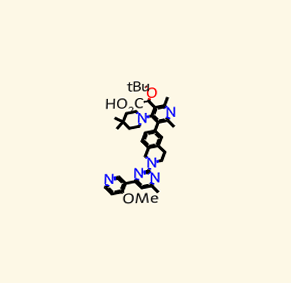 COc1ccncc1-c1cc(C)nc(N2CCc3cc(-c4c(C)nc(C)c([C@H](OC(C)(C)C)C(=O)O)c4N4CCC(C)(C)CC4)ccc3C2)n1